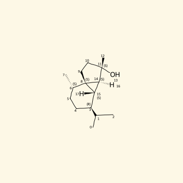 CC(C)[C@H]1CC[C@H](C)[C@]23CC[C@](C)(O)[C@H]2[C@H]13